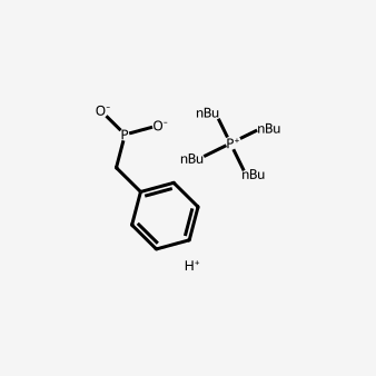 CCCC[P+](CCCC)(CCCC)CCCC.[H+].[O-]P([O-])Cc1ccccc1